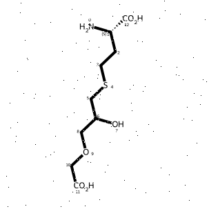 N[C@@H](CCSCC(O)COCC(=O)O)C(=O)O